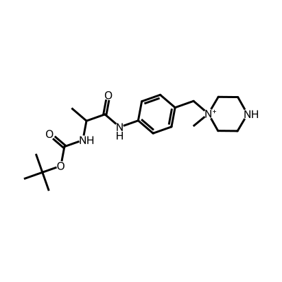 CC(NC(=O)OC(C)(C)C)C(=O)Nc1ccc(C[N+]2(C)CCNCC2)cc1